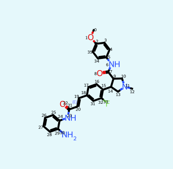 COc1ccc(NC(=O)C2CN(C)CC2c2ccc(/C=C/C(=O)Nc3ccccc3N)cc2F)cc1